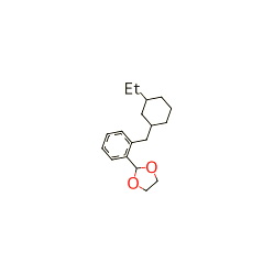 CCC1CCCC(Cc2ccccc2C2OCCO2)C1